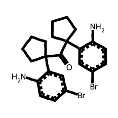 Nc1ccc(Br)cc1C1(C(=O)C2(c3cc(Br)ccc3N)CCCC2)CCCC1